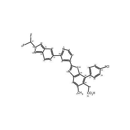 Cc1cc2nc(-c3ccnc(-c4ccc5nn(C(F)F)cc5c4)c3)sc2c(-c2ccc(Cl)cc2)c1CC(=O)O